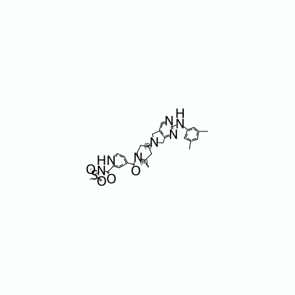 Cc1cc(C)cc(Nc2ncc3c(n2)CN([C@@H]2CCN(C(=O)c4ccnc(C(=O)NS(C)(=O)=O)c4)[C@H](C)C2)C3)c1